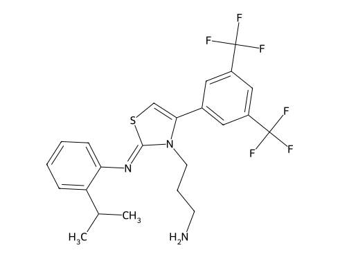 CC(C)c1ccccc1/N=c1\scc(-c2cc(C(F)(F)F)cc(C(F)(F)F)c2)n1CCCN